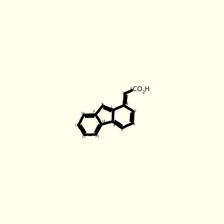 O=C(O)C=c1cccc2c1=Cc1ccccc1-2